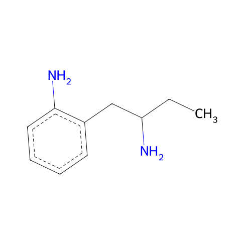 CCC(N)Cc1ccccc1N